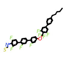 CCCCCc1ccc(-c2cc(F)c(C(F)(F)Oc3ccc(-c4ccc(-c5cc(F)c(N=C=S)c(F)c5)c(F)c4)c(F)c3)c(F)c2)cc1